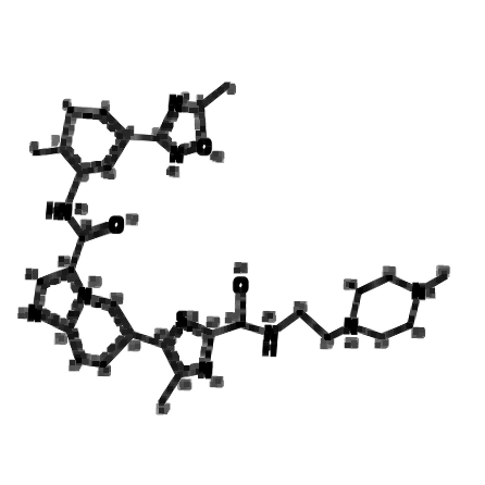 Cc1nc(-c2ccc(C)c(NC(=O)c3cnc4ccc(-c5sc(C(=O)NCCN6CCN(C)CC6)nc5C)cn34)c2)no1